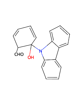 O=CC1C=CC=CC1(O)n1c2ccccc2c2ccccc21